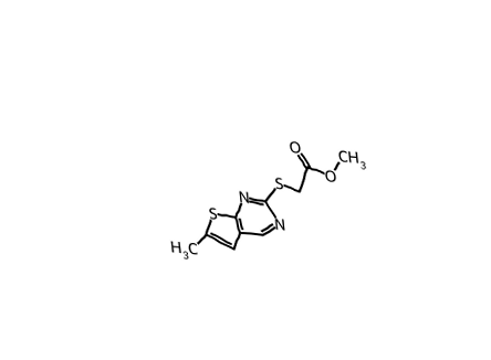 COC(=O)CSc1ncc2cc(C)sc2n1